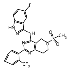 CS(=O)(=O)N1CCc2nc(-c3ccccc3C(F)(F)F)nc(Nc3n[nH]c4ccc(F)cc34)c2C1